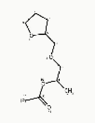 CC(COCC1CCCO1)OC(=O)C(C)C